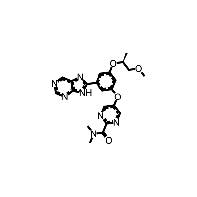 COC[C@H](C)Oc1cc(Oc2cnc(C(=O)N(C)C)nc2)cc(-c2nc3cncnc3[nH]2)c1